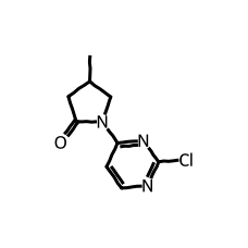 CC1CC(=O)N(c2ccnc(Cl)n2)C1